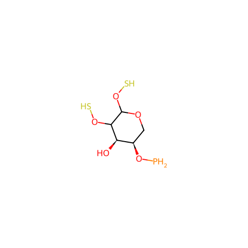 O[C@H]1C(OS)C(OS)OC[C@H]1OP